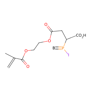 B#P(I)C(CC(=O)OCCOC(=O)C(=C)C)C(=O)O